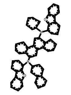 c1ccc(N(c2cc3c4ccccc4c(N(c4ccc5ccccc5c4)c4cccc5c4oc4ccccc45)cc3c3ccccc23)c2cccc3c2oc2ccccc23)cc1